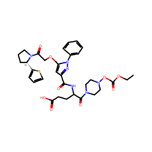 CCOC(=O)ON1CCN(C(=O)C(CCC(=O)O)NC(=O)c2cc(OCC(=O)N3CCC[C@H]3c3cccs3)n(-c3ccccc3)n2)CC1